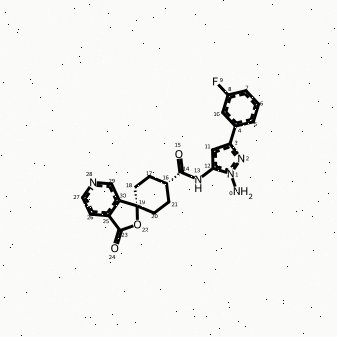 Nn1nc(-c2cccc(F)c2)cc1NC(=O)[C@H]1CC[C@]2(CC1)OC(=O)c1ccncc12